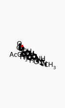 CC(=O)O[C@H]1C[C@]2(O)[C@@H]3CC[C@@H]4C[C@@H](NC(=O)N5CCN(C)CC5)CC[C@]4(C)[C@H]3CC[C@]2(C)[C@H]1c1ccc(=O)oc1